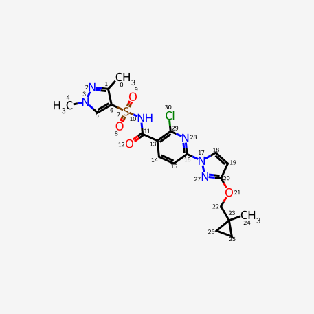 Cc1nn(C)cc1S(=O)(=O)NC(=O)c1ccc(-n2ccc(OCC3(C)CC3)n2)nc1Cl